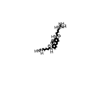 N=CNCCCCC(=O)NC1=CC2C(C=C1)Cc1ccc(NC(=O)CCCCNC(=N)N)cc1S2(=O)=O